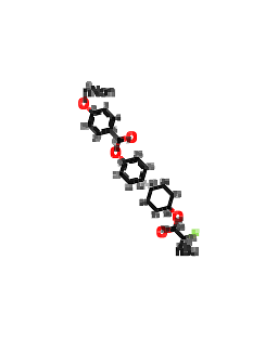 CCCCCCCCCOc1ccc(C(=O)Oc2ccc([C@H]3CC[C@H](OC(=O)[C@@H](F)CCCC)CC3)cc2)cc1